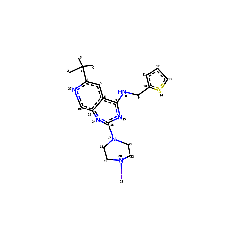 CC(C)(C)c1cc2c(NCc3cccs3)nc(N3CCN(I)CC3)nc2cn1